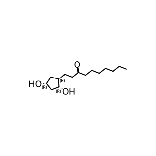 CCCCCCCC(=O)CC[C@@H]1C[C@@H](O)C[C@H]1O